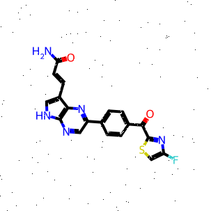 NC(=O)C=Cc1c[nH]c2ncc(-c3ccc(C(=O)c4nc(F)cs4)cc3)nc12